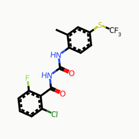 Cc1cc(SC(F)(F)F)ccc1NC(=O)NC(=O)c1c(F)cccc1Cl